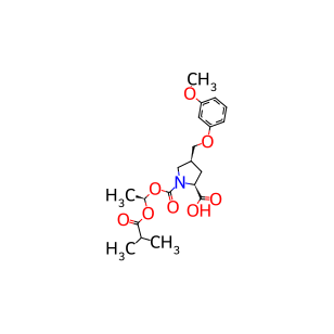 COc1cccc(OC[C@H]2C[C@@H](C(=O)O)N(C(=O)O[C@H](C)OC(=O)C(C)C)C2)c1